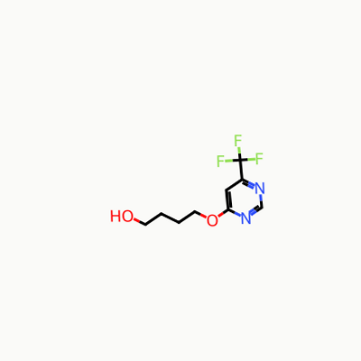 OCCCCOc1cc(C(F)(F)F)ncn1